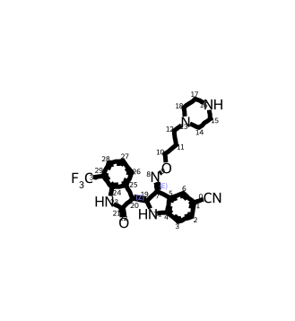 N#Cc1ccc2c(c1)C(=N\OCCCN1CCNCC1)/C(=C1/C(=O)Nc3c1cccc3C(F)(F)F)N2